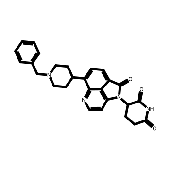 O=C1CCC(N2C(=O)c3ccc(C4CCN(Cc5ccccc5)CC4)c4nccc2c34)C(=O)N1